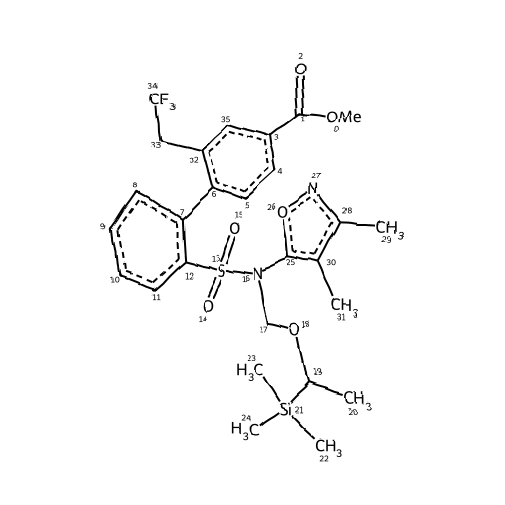 COC(=O)c1ccc(-c2ccccc2S(=O)(=O)N(COC(C)[Si](C)(C)C)c2onc(C)c2C)c(CC(F)(F)F)c1